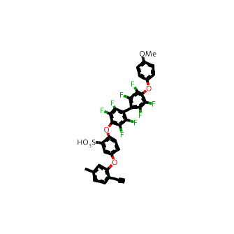 C#Cc1ccc(C)cc1Oc1ccc(Oc2c(F)c(F)c(-c3c(F)c(F)c(Oc4ccc(OC)cc4)c(F)c3F)c(F)c2F)c(S(=O)(=O)O)c1